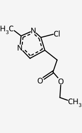 CCOC(=O)Cc1cnc(C)nc1Cl